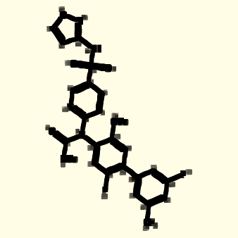 CNC(=O)N(c1ccc(S(=O)(=O)Nc2ccon2)cn1)c1cc(F)c(-c2cc(C)cc(F)c2)cc1OC